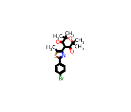 Cc1sc(-c2ccc(Br)cc2)nc1C1C(=O)C(C)(C)OC(C)(C)C1=O